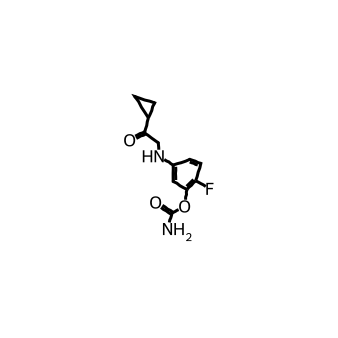 NC(=O)Oc1cc(NCC(=O)C2CC2)ccc1F